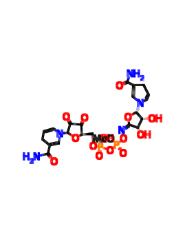 COP(=O)(O/N=C1/O[C@H](N2C=CCC(C(N)=O)=C2)[C@H](O)[C@@H]1O)OP(=O)(O)OC[C@H]1O[C@@H](N2C=CCC(C(N)=O)=C2)C(=O)C1=O